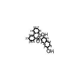 O=P1(c2cc3cc(O)ccc3cc2O)Oc2ccccc2-c2ccccc21